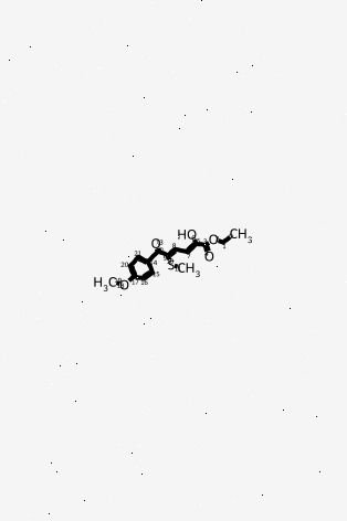 CCOC(=O)C(O)=CC=C(SC)C(=O)c1ccc(OC)cc1